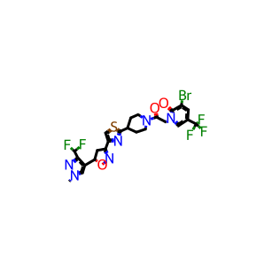 Cn1cc(C2CC(c3csc(C4CCN(C(=O)Cn5cc(C(F)(F)F)cc(Br)c5=O)CC4)n3)=NO2)c(C(F)F)n1